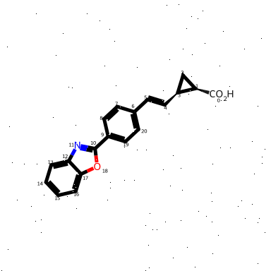 O=C(O)[C@@H]1C[C@@H]1/C=C/c1ccc(-c2nc3ccccc3o2)cc1